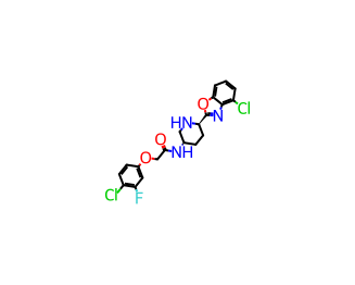 O=C(COc1ccc(Cl)c(F)c1)N[C@H]1CC[C@H](c2nc3c(Cl)cccc3o2)NC1